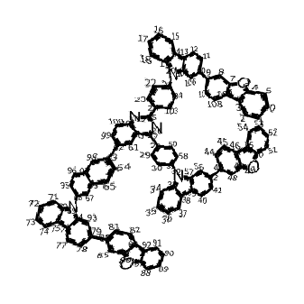 c1ccc2c(c1)oc1cc(-c3ccc4c5ccccc5n(-c5ccc(-c6nc(-c7ccc(-n8c9ccccc9c9ccc(-c%10ccc%11c(c%10)oc%10ccccc%10%11)cc98)cc7)c7cc(-c8ccc9cc(-n%10c%11ccccc%11c%11ccc(-c%12ccc%13c(c%12)oc%12ccccc%12%13)cc%11%10)ccc9c8)ccc7n6)cc5)c4c3)ccc12